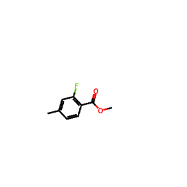 COC(=O)c1ccc(C)cc1F